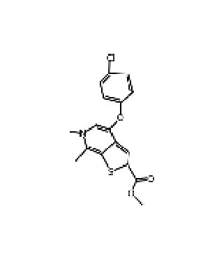 COC(=O)C1C=C2C(Oc3ccc(Cl)cc3)=CN(C)C(C)=C2S1